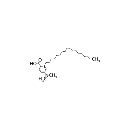 CCCCCCCC/C=C\CCCCCCCCc1cc(N(C)C)ccc1C(=O)O